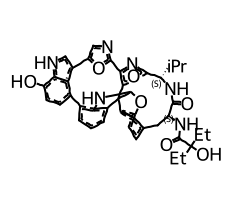 CCC(O)(CC)C(=O)N[C@H]1Cc2ccc3c(c2)C24c5cccc(c5NC2O3)-c2ccc(O)c3[nH]cc(c23)-c2cnc(o2)-c2nc(oc24)[C@H](C(C)C)NC1=O